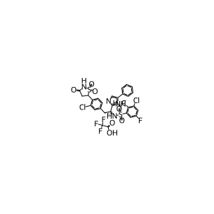 Cc1c(Cl)cc(F)cc1S(=O)(=O)N[C@@H](Cc1ccc(C2CC(=O)NS2(=O)=O)c(Cl)c1)c1ncc(-c2ccccc2)[nH]1.O=C(O)C(F)(F)F